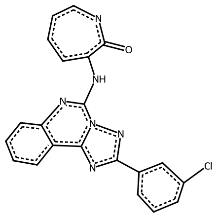 O=c1nccccc1Nc1nc2ccccc2c2nc(-c3cccc(Cl)c3)nn12